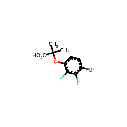 CC(C)(Oc1ccc(Br)c(F)c1F)C(=O)O